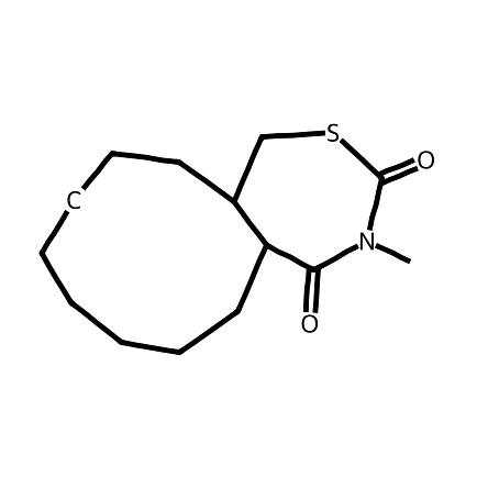 CN1C(=O)SCC2CCCCCCCCC2C1=O